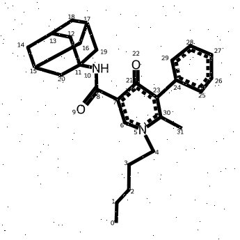 CCCCCn1cc(C(=O)NC23CC4CC(CC(C4)C2)C3)c(=O)c(-c2ccccc2)c1C